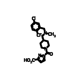 CN(Cc1cc(Cl)ccc1C(F)(F)F)CC1CCN(C(=O)n2ccc(C(=O)O)n2)CC1